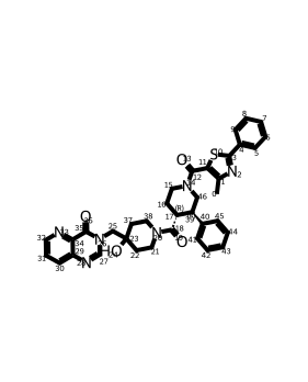 Cc1nc(-c2ccccc2)sc1C(=O)N1CC[C@@H](C(=O)N2CCC(O)(Cn3cnc4cccnc4c3=O)CC2)[C@H](c2ccccc2)C1